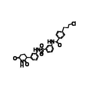 O=C1CCC(c2cccc(NS(=O)(=O)c3cccc(NC(=O)c4ccc(CCCCl)cc4)c3)c2)C(=O)N1